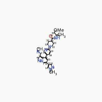 C=NCc1cnn2cc(-c3cnn(C)c3)cc(-c3ccc(N4CCC(C(=O)NC(C)COC)CC4)nc3)c12